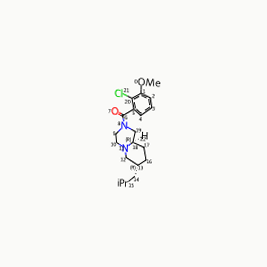 COc1cccc(C(=O)N2CCN3C[C@@H](CC(C)C)CC[C@@H]3C2)c1Cl